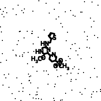 COC1NCC(NCC2C=CCS2)=NC1C1CCC(S(C)(=O)=O)C=N1